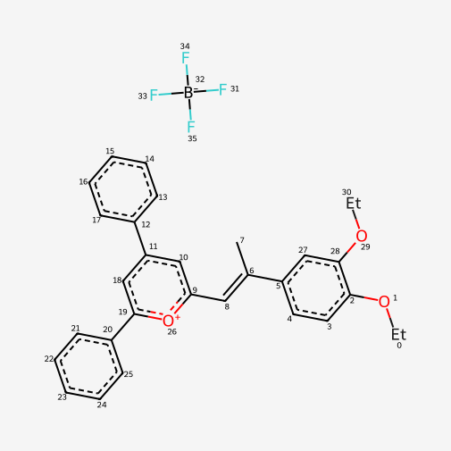 CCOc1ccc(C(C)=Cc2cc(-c3ccccc3)cc(-c3ccccc3)[o+]2)cc1OCC.F[B-](F)(F)F